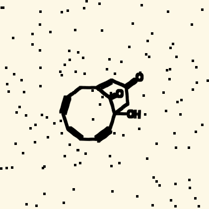 O=C1C=C2CC#CC=CC#CC(O)(C1)C2=O